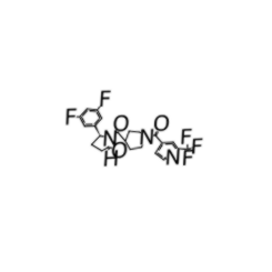 O=C(c1ccnc(C(F)(F)F)c1)N1CCC2(CC1)O[C@@H]1CC[C@@H](c3cc(F)cc(F)c3)N1C2=O